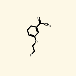 CC(=O)C1=CC(OCCF)=CCC1